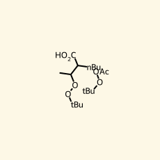 CC(=O)OOC(C)(C)C.CCCCC(C(=O)O)C(C)OOC(C)(C)C